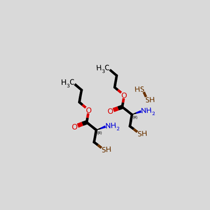 CCCOC(=O)[C@@H](N)CS.CCCOC(=O)[C@@H](N)CS.SS